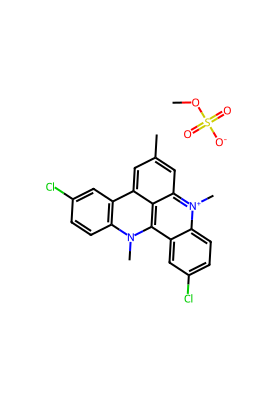 COS(=O)(=O)[O-].Cc1cc2c3c(c4cc(Cl)ccc4[n+](C)c3c1)N(C)c1ccc(Cl)cc1-2